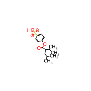 CC(C)CC(C(=O)Oc1ccc(S(=O)(=O)O)cc1)C(C)C